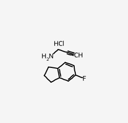 C#CCN.Cl.Fc1ccc2c(c1)CCC2